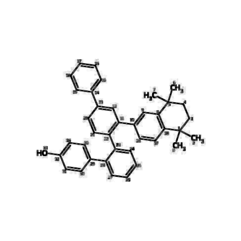 CC1(C)CCC(C)(C)c2cc(-c3cc(-c4ccccc4)ccc3-c3ccccc3-c3ccc(O)cc3)ccc21